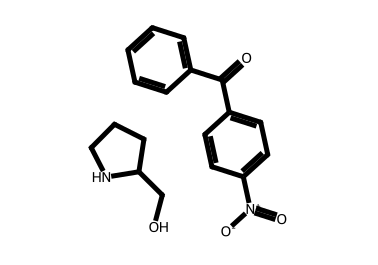 O=C(c1ccccc1)c1ccc([N+](=O)[O-])cc1.OCC1CCCN1